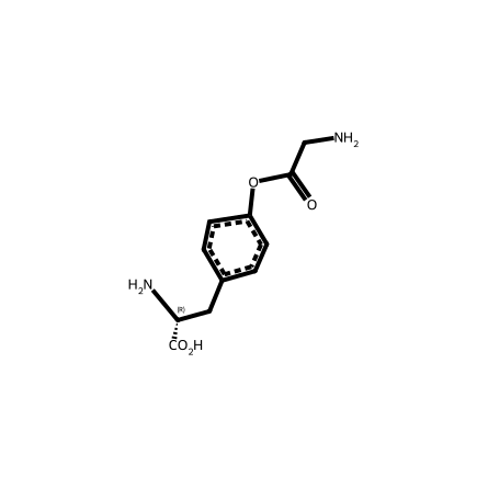 NCC(=O)Oc1ccc(C[C@@H](N)C(=O)O)cc1